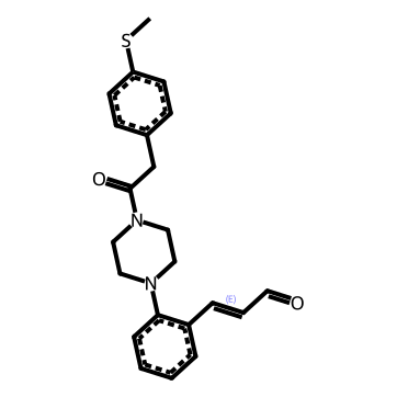 CSc1ccc(CC(=O)N2CCN(c3ccccc3/C=C/C=O)CC2)cc1